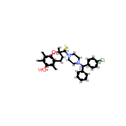 Cc1c(C)c2c(c(C)c1O)CCC(C)(C(=S)N1CCN(C(c3ccccc3)c3ccc(Cl)cc3)CC1)O2